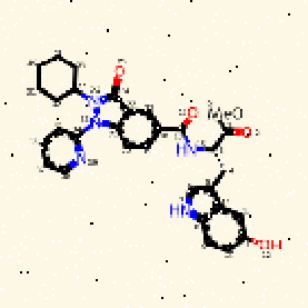 COC(=O)[C@H](Cc1c[nH]c2ccc(O)cc12)NC(=O)c1ccc2c(c1)c(=O)n(C1CCCCC1)n2-c1ccccn1